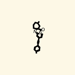 Cc1ccc(C#Cc2ccn3c(=O)c4c(nc3c2)CCCC(C)C4)cc1